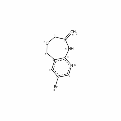 C=C1COCc2cc(Br)cnc2N1